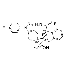 NC(=O)[C@H](F)c1c(F)cccc1CC[C@]1(O)CCC2=Cc3c(cnn3-c3ccc(F)cc3)C[C@@]21C1CC1